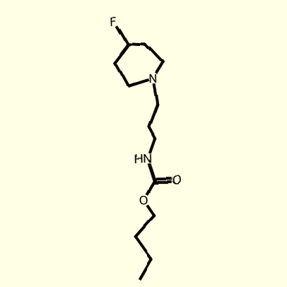 CCCCOC(=O)NCCCN1CCC(F)CC1